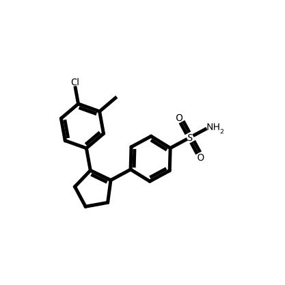 Cc1cc(C2=C(c3ccc(S(N)(=O)=O)cc3)CCC2)ccc1Cl